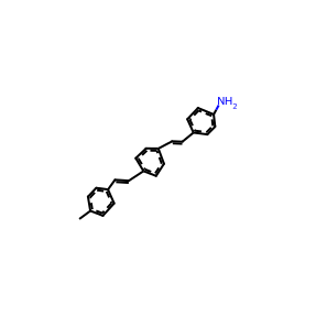 Cc1ccc(/C=C/c2ccc(/C=C/c3ccc(N)cc3)cc2)cc1